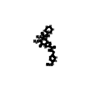 CSc1ccc(CNC(=O)c2cc3n(n2)CC(C)(C(=O)NC2CCCCC2)N(C)C3=O)cc1